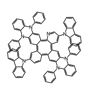 c1ccc(-n2c3ccccc3n(-c3ccccc3)c3cc4c(cc32)c2ccc(-n3c5ccccc5c5ccccc53)cc2c2cc3c(cc2c2ncc(-n5c6ccccc6c6ccccc65)cc42)n(-c2ccccc2)c2ccccc2n3-c2ccccc2)cc1